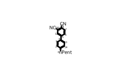 CCCCCc1ccc(-c2ccc(C#N)c(C#N)c2)cc1